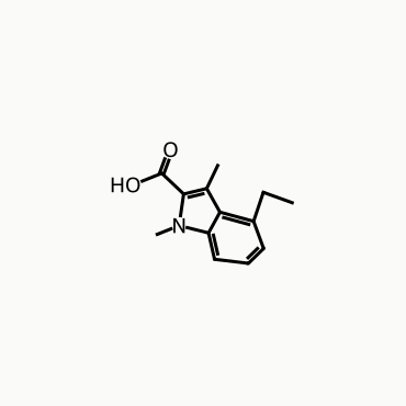 CCc1cccc2c1c(C)c(C(=O)O)n2C